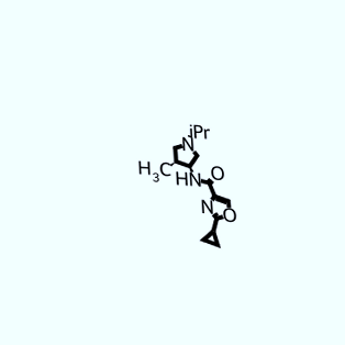 CC(C)N1C[C@@H](C)[C@H](NC(=O)c2coc(C3CC3)n2)C1